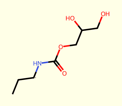 CC[CH]NC(=O)OCC(O)CO